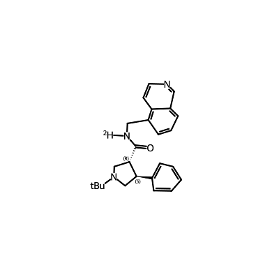 [2H]N(Cc1cccc2cnccc12)C(=O)[C@H]1CN(C(C)(C)C)C[C@@H]1c1ccccc1